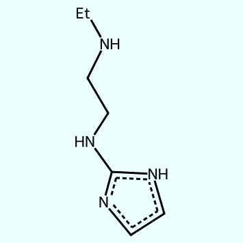 CCNCCNc1ncc[nH]1